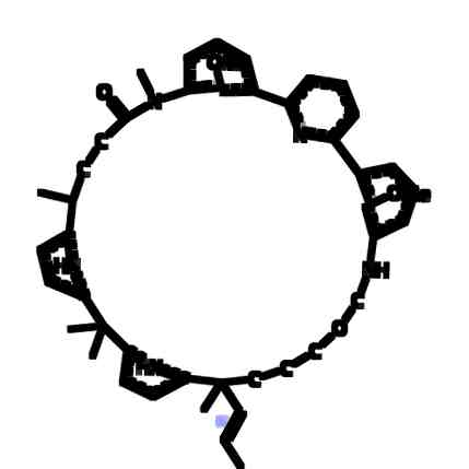 C/C=C/C1(C)CCCOCNc2cccc(c2OC)-c2cccc(n2)-c2cccc(c2OC)N(C)C(=O)CCC(C)c2ccc([nH]2)C(C)(C)c2ccc1[nH]2